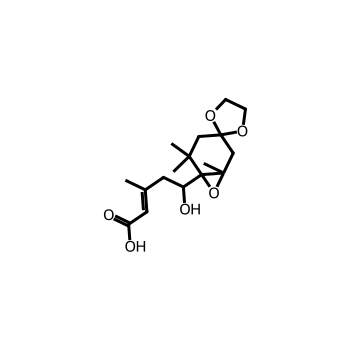 CC(=CC(=O)O)CC(O)C12OC1(C)CC1(CC2(C)C)OCCO1